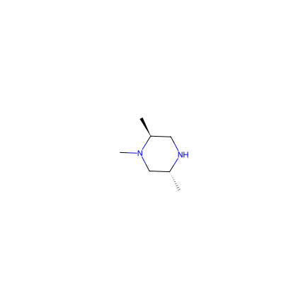 C[C@@H]1CN(C)[C@@H](C)CN1